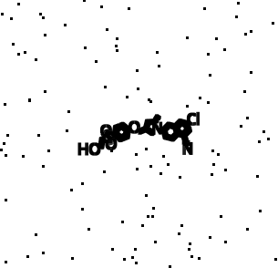 CC1CC(COc2ccc(S(=O)(=O)CCO)cc2)CN1C1CCc2c(C#N)cc(Cl)cc2C1